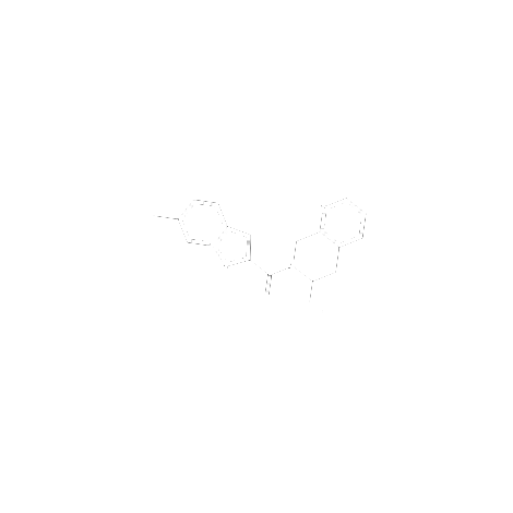 CC1Cc2cccnc2CN1C(=O)c1cc2ccc(Cl)cn2n1